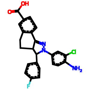 Nc1ccc(N2N=C3c4ccc(C(=O)O)cc4CCC3C2c2ccc(F)cc2)cc1Cl